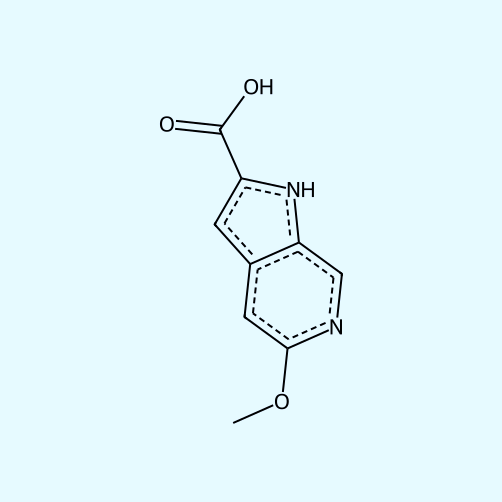 COc1cc2cc(C(=O)O)[nH]c2cn1